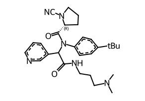 CN(C)CCCNC(=O)C(c1cccnc1)N(C(=O)[C@H]1CCCN1C#N)c1ccc(C(C)(C)C)cc1